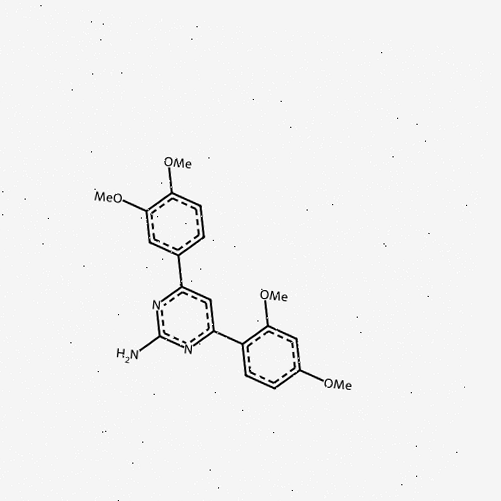 COc1ccc(-c2cc(-c3ccc(OC)c(OC)c3)nc(N)n2)c(OC)c1